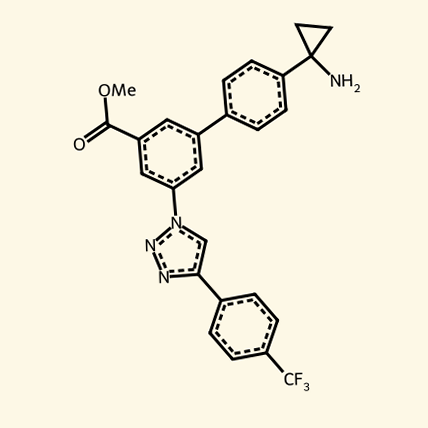 COC(=O)c1cc(-c2ccc(C3(N)CC3)cc2)cc(-n2cc(-c3ccc(C(F)(F)F)cc3)nn2)c1